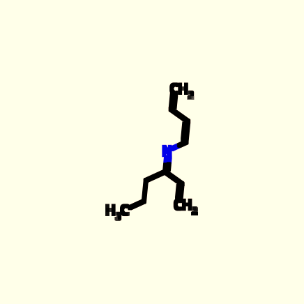 C=C/C=C\N=C(/C=C)CCC